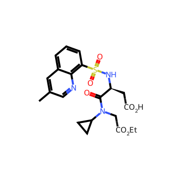 CCOC(=O)CN(C(=O)[C@H](CC(=O)O)NS(=O)(=O)c1cccc2cc(C)cnc12)C1CC1